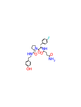 NC(=O)CCC(=O)N[C@@H](Cc1ccc(F)cc1)C(=O)N1CCC[C@H]1C(=O)NCCc1ccc(O)cc1